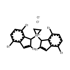 CCC1=Cc2c(CC)ccc(CC)c2[CH]1[Hf+2]1([CH]2C(CC)=Cc3c(CC)ccc(CC)c32)[CH2][CH2]1.[Cl-].[Cl-]